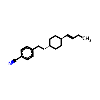 CCC=C[C@H]1CC[C@H](CCc2ccc(C#N)cc2)CC1